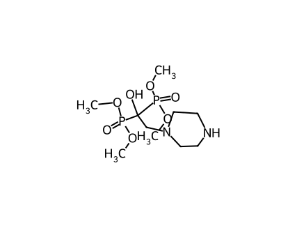 COP(=O)(OC)C(O)(CN1CCNCC1)P(=O)(OC)OC